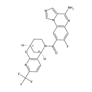 Nc1nc2cc(F)c(C(=O)N3CC[C@H]4C[C@@H]3c3ccc(C(F)(F)F)nc3O4)cc2n2cncc12